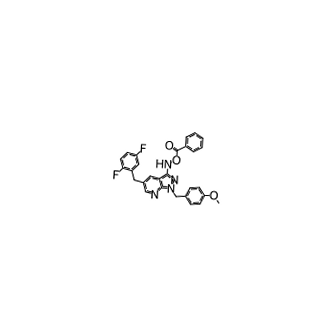 COc1ccc(Cn2nc(NOC(=O)c3ccccc3)c3cc(Cc4cc(F)ccc4F)cnc32)cc1